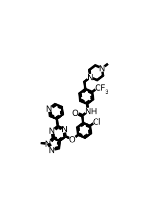 CN1CCN(Cc2ccc(NC(=O)c3cc(Oc4nc(-c5cccnc5)nc5c4cnn5C)ccc3Cl)cc2C(F)(F)F)CC1